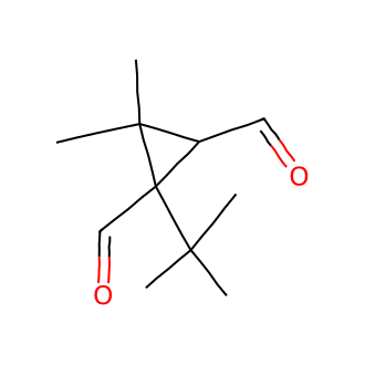 CC(C)(C)C1(C=O)C(C=O)C1(C)C